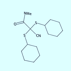 CNC(=O)C(C#N)(SC1CCCCC1)SC1CCCCC1